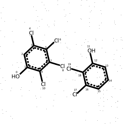 Oc1cc(Cl)c(Cl)c(Cl)c1Cl.Oc1cccc(Cl)c1Cl